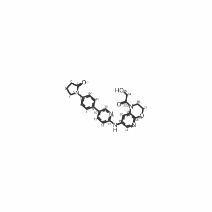 O=C1CCCN1c1ccc(-c2ccc(Nc3cnc4c(c3)N(C(=O)CO)CCO4)nc2)cc1